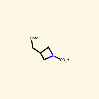 COCC1CN(C(=O)O)C1